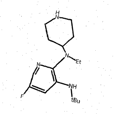 CCN(c1ncc(F)cc1NC(C)(C)C)C1CCNCC1